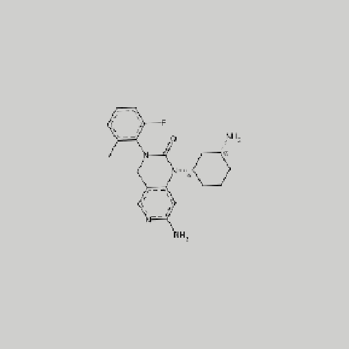 Cc1cccc(F)c1N1Cc2cnc(N)cc2N([C@H]2CCC[C@@H](N)C2)C1=O